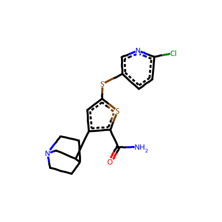 NC(=O)c1sc(Sc2ccc(Cl)nc2)cc1C1CN2CCC1CC2